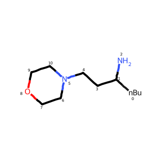 CCCCC(N)CCN1CCOCC1